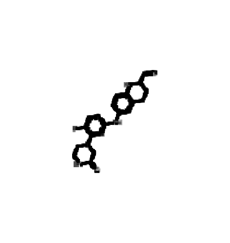 O=CC1CCc2cc(Nc3ncc(F)c(N4CCNC(=O)C4)n3)ccc2N1